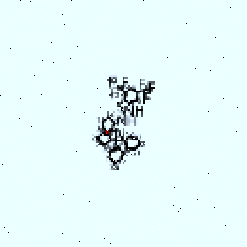 FC(F)(F)c1cc(NC(=S)N[C@H]2CCCC[C@@H]2N=P(c2ccccc2)(c2ccccc2)c2ccccc2)cc(C(F)(F)F)c1